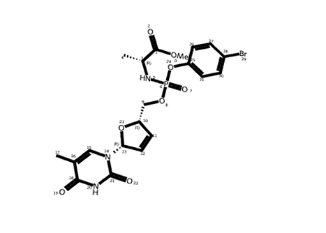 COC(=O)[C@@H](C)NP(=O)(OC[C@@H]1C=C[C@H](n2cc(C)c(=O)[nH]c2=O)O1)Oc1ccc(Br)cc1